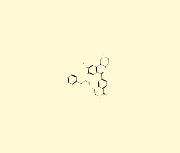 CCOc1cc2c(cc1OC)C(c1ccc(C(=O)N(C(C)C)[C@@H](C)COCCCc3ccccc3)cc1)=N[C@@H]1CCN(C)C[C@H]21